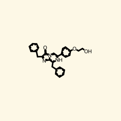 O=c1c(Cc2ccccc2)nc2c(Cc3ccccc3)[nH]c(-c3ccc(OCCO)cc3)cn1-2